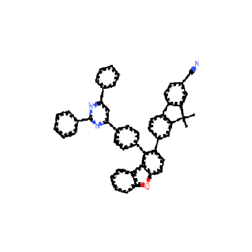 CC1(C)c2cc(C#N)ccc2-c2ccc(-c3ccc4oc5ccccc5c4c3-c3ccc(-c4cc(-c5ccccc5)nc(-c5ccccc5)n4)cc3)cc21